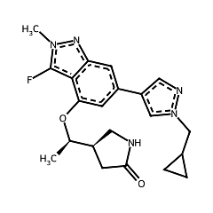 C[C@@H](Oc1cc(-c2cnn(CC3CC3)c2)cc2nn(C)c(F)c12)[C@H]1CNC(=O)C1